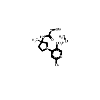 CC(C)(C)OC(=O)N[C@@]1(C)CCN(c2cc(C#N)ncc2C(=O)O)C1.CCN